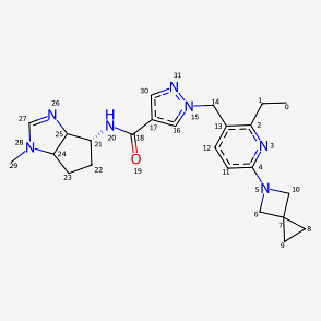 CCc1nc(N2CC3(CC3)C2)ccc1Cn1cc(C(=O)N[C@@H]2CCC3C2N=CN3C)cn1